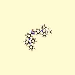 CC1(C)c2ccccc2N(c2ccc(-c3nc(-c4cccc(N5c6ccccc6N(c6ccccc6)c6ccccc65)c4)ns3)cc2)c2ccccc21